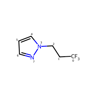 FC(F)(F)CCn1cccn1